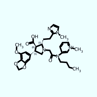 CCCCN(C(=O)CN1C[C@H](c2cc(OC)c3c(c2)OCO3)[C@@H](C(=O)O)[C@@H]1CCc1nccn1C)c1ccc[n+](C)c1